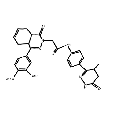 COc1ccc(C2=NN(CC(=O)Nc3ccc(C4=NNC(=O)CC4C)cc3)C(=O)C3CC=CCC23)cc1OC